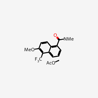 CNC(=O)c1cccc2c(C(F)(F)F)c(OC)ccc12.COC(C)=O